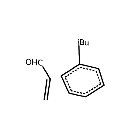 C=CC=O.CCC(C)c1ccccc1